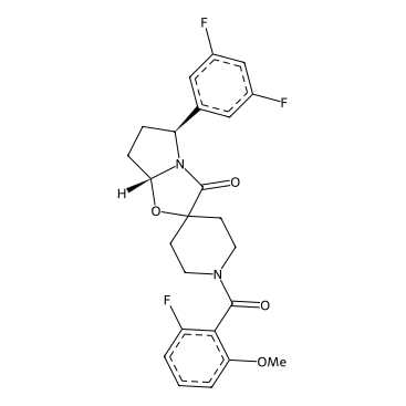 COc1cccc(F)c1C(=O)N1CCC2(CC1)O[C@@H]1CC[C@@H](c3cc(F)cc(F)c3)N1C2=O